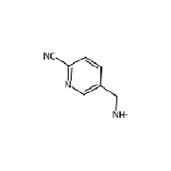 N#Cc1ccc(C[NH])cn1